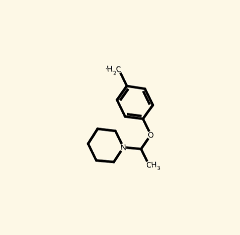 [CH2]c1ccc(OC(C)N2CCCCC2)cc1